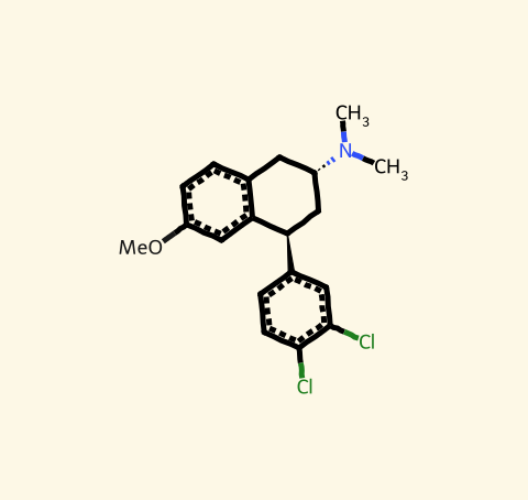 COc1ccc2c(c1)[C@H](c1ccc(Cl)c(Cl)c1)C[C@@H](N(C)C)C2